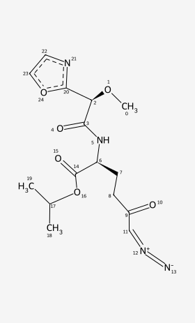 CO[C@@H](C(=O)N[C@@H](CCC(=O)C=[N+]=[N-])C(=O)OC(C)C)c1ncco1